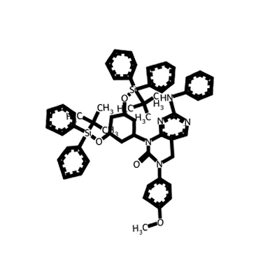 COc1ccc(N2Cc3cnc(Nc4ccccc4)nc3N(C3CC(O[Si](c4ccccc4)(c4ccccc4)C(C)(C)C)CC(O[Si](c4ccccc4)(c4ccccc4)C(C)(C)C)C3)C2=O)cc1